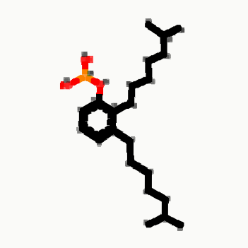 CC(C)CCCCCc1cccc(OP(O)O)c1CCCCCC(C)C